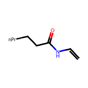 C=CNC(=O)CCCCC